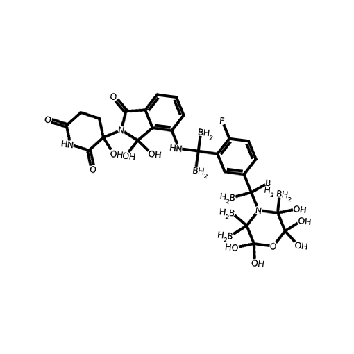 BC(B)(Nc1cccc2c1C(O)(O)N(C1(O)CCC(=O)NC1=O)C2=O)c1cc(C(B)(B)N2C(B)(B)C(O)(O)OC(O)(O)C2(B)O)ccc1F